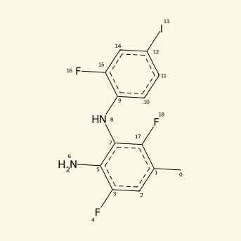 Cc1cc(F)c(N)c(Nc2ccc(I)cc2F)c1F